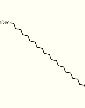 [CH2]CCCCCCCCCCCCCCCCCCCCCCCCCCCCCF